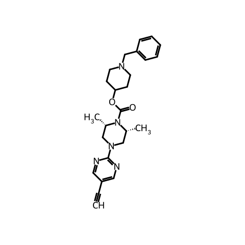 C#Cc1cnc(N2C[C@@H](C)N(C(=O)OC3CCN(Cc4ccccc4)CC3)[C@@H](C)C2)nc1